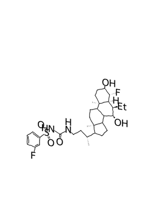 CC[C@@H]1[C@@H]2[C@@H](F)[C@H](O)CC[C@]2(C)C2CC[C@@]3(C)C(CCC3[C@H](C)CCNC(=O)NS(=O)(=O)c3cccc(F)c3)C2[C@@H]1O